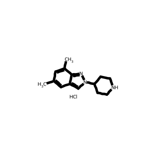 Cc1cc(C)c2nn(C3CCNCC3)cc2c1.Cl